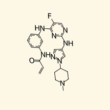 C=CC(=O)Nc1cccc(Nc2nc(Nc3cnn(C4CCN(C)CC4)c3)ncc2F)c1